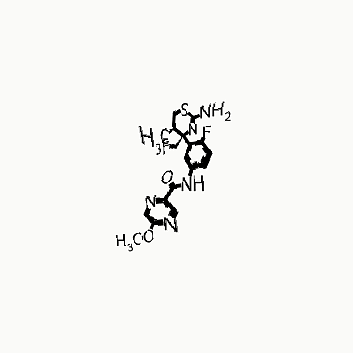 COc1cnc(C(=O)Nc2ccc(F)c([C@@]3(CF)N=C(N)SC[C@@H]3C)c2)cn1